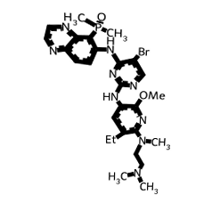 CCc1cc(Nc2ncc(Br)c(Nc3ccc4nccnc4c3P(C)(C)=O)n2)c(OC)nc1N(C)CCN(C)C